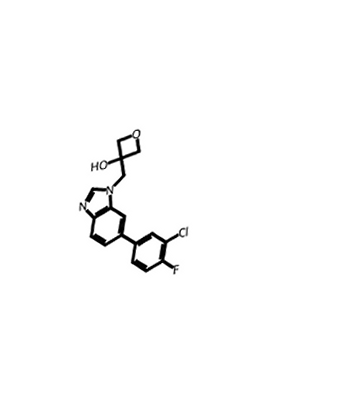 OC1(Cn2cnc3ccc(-c4ccc(F)c(Cl)c4)cc32)COC1